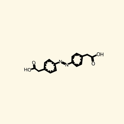 O=C(O)Cc1ccc(/N=N/c2ccc(CC(=O)O)cc2)cc1